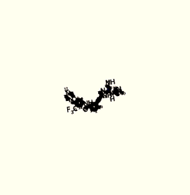 Cc1ccc(C(=O)Nc2ccc(CN3CCN(C)CC3)c(C(F)(F)F)c2)cc1C#Cc1cnc(/C(=C\C=N)Nc2cnn(C)c2)[nH]1